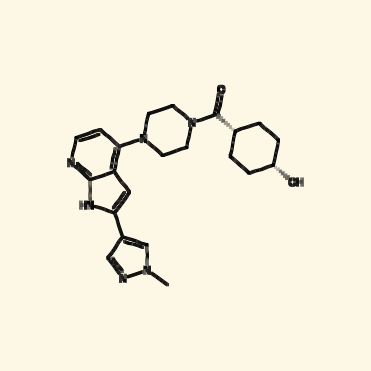 Cn1cc(-c2cc3c(N4CCN(C(=O)[C@H]5CC[C@@H](O)CC5)CC4)ccnc3[nH]2)cn1